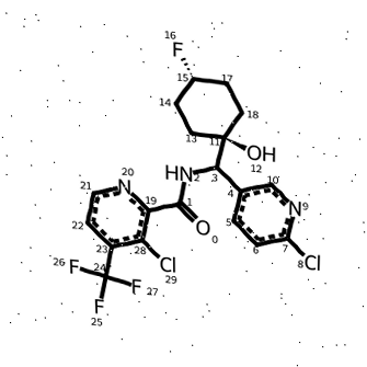 O=C(NC(c1ccc(Cl)nc1)[C@]1(O)CC[C@H](F)CC1)c1nccc(C(F)(F)F)c1Cl